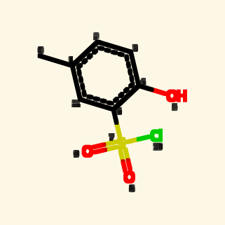 Cc1ccc(O)c(S(=O)(=O)Cl)c1